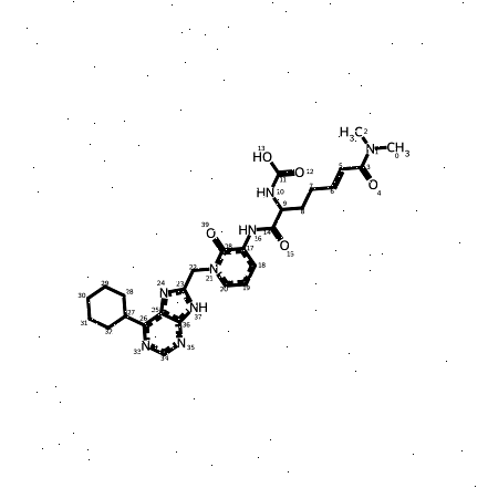 CN(C)C(=O)C=CCCC(NC(=O)O)C(=O)Nc1cccn(Cc2nc3c(C4CCCCC4)ncnc3[nH]2)c1=O